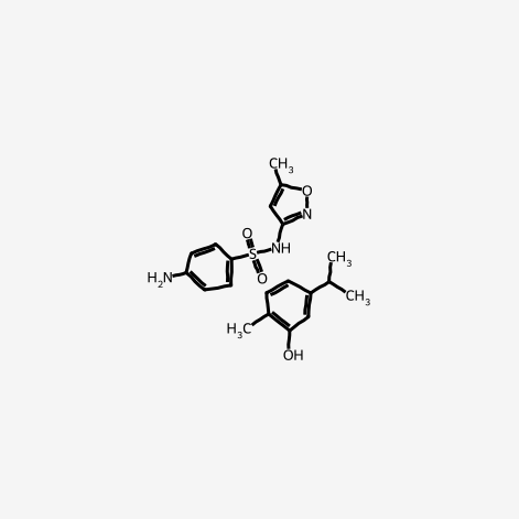 Cc1cc(NS(=O)(=O)c2ccc(N)cc2)no1.Cc1ccc(C(C)C)cc1O